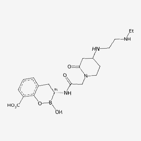 CCNCCNC1CCN(CC(=O)N[C@H]2Cc3cccc(C(=O)O)c3OB2O)C(=O)C1